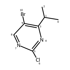 CC(C)c1nc(Cl)ncc1Br